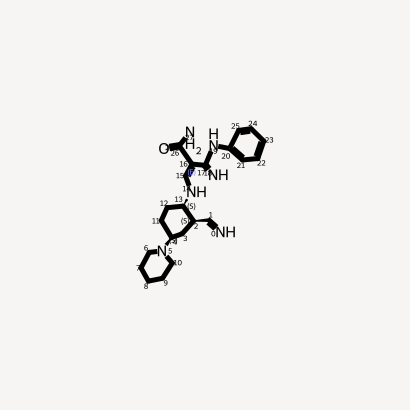 N=C[C@H]1C[C@@H](N2CCCCC2)CC[C@@H]1N/C=C(\C(=N)Nc1ccccc1)C(N)=O